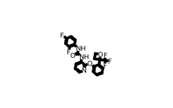 O=C(Nc1ccc(F)cc1F)Nc1cccnc1Oc1ccccc1C1(C(F)(F)F)CCO1